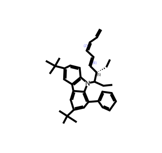 C=C/C=C\C=C\[C@H](CC)C(CC)n1c2ccc(C(C)(C)C)cc2c2cc(C(C)(C)C)cc(-c3ccccc3)c21